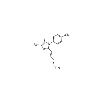 CC(=O)c1cc(/C=C/CCC#N)n(-c2ccc(C#N)cc2)c1C